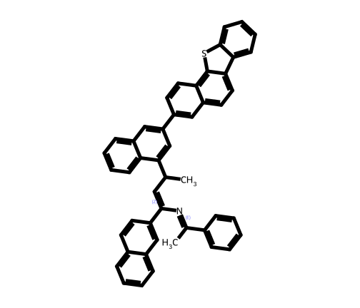 C/C(=N\C(=C/C(C)c1cc(-c2ccc3c(ccc4c5ccccc5sc34)c2)cc2ccccc12)c1ccc2ccccc2c1)c1ccccc1